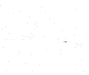 CC(=O)NC(C)(C)C[C@H]1CNc2cc(NC(=O)OC(C)(C)C)ccc2O1